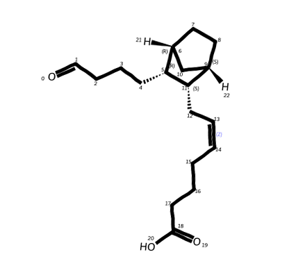 O=CCCC[C@@H]1[C@@H]2CC[C@@H](C2)[C@@H]1C/C=C\CCCC(=O)O